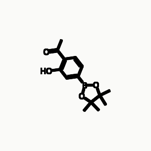 CC(=O)c1ccc(B2OC(C)(C)C(C)(C)O2)cc1O